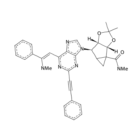 CNC(=O)C12CC1[C@@H](n1cnc3c(/C=C(\NC)c4ccccc4)nc(C#Cc4ccccc4)nc31)[C@@H]1OC(C)(C)O[C@@H]12